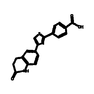 O=C1CCc2cc(-c3csc(-c4ccc(C(=O)O)cc4)n3)ccc2N1